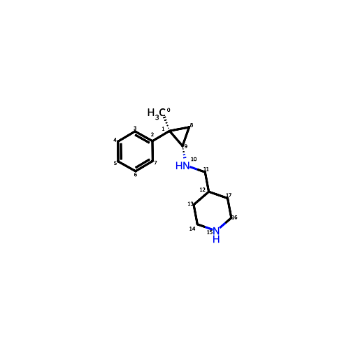 C[C@]1(c2ccccc2)C[C@@H]1NCC1CCNCC1